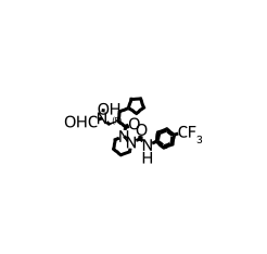 O=CN(O)C[C@@H](CC1CCCC1)C(=O)N1CCCCN1C(=O)Nc1ccc(C(F)(F)F)cc1